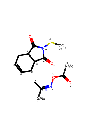 CNC(=O)O/N=C(\C)SC.O=C1C2CC=CCC2C(=O)N1SC(Cl)(Cl)Cl